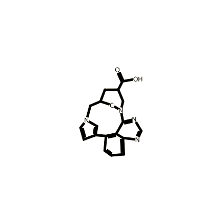 O=C(O)C1CC2CN(C1)c1ncnc3cccc(c13)-c1ccn(c1)C2